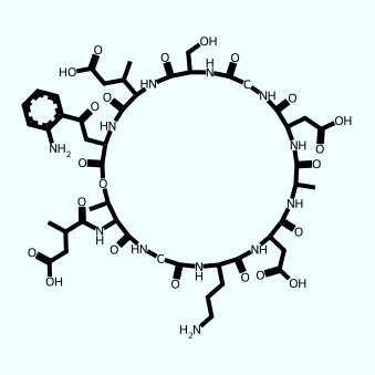 CC(CC(=O)O)C(=O)NC1C(=O)NCC(=O)NC(CCCN)C(=O)NC(CC(=O)O)C(=O)NC(C)C(=O)NC(CC(=O)O)C(=O)NCC(=O)NC(CO)C(=O)NC(C(C)CC(=O)O)C(=O)NC(CC(=O)c2ccccc2N)C(=O)OC1C